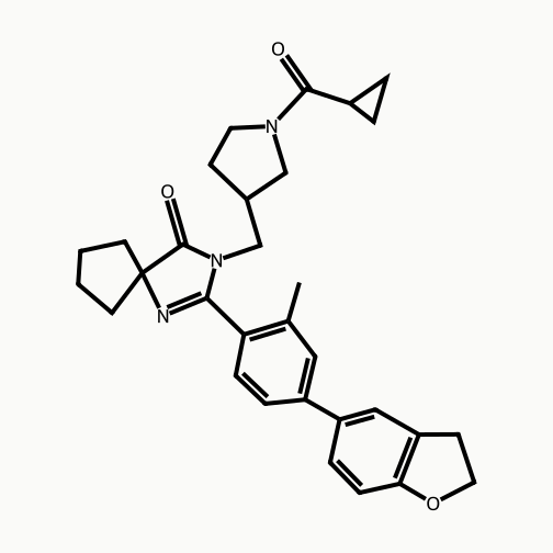 Cc1cc(-c2ccc3c(c2)CCO3)ccc1C1=NC2(CCCC2)C(=O)N1CC1CCN(C(=O)C2CC2)C1